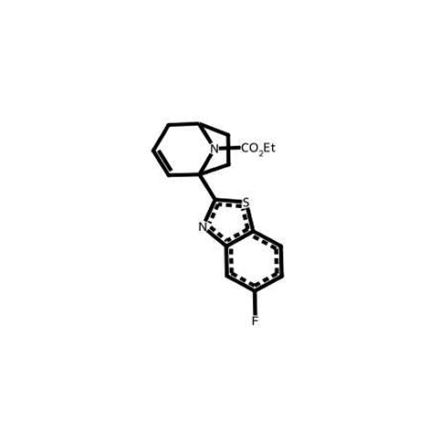 CCOC(=O)N1C2CC=CC1(c1nc3cc(F)ccc3s1)CC2